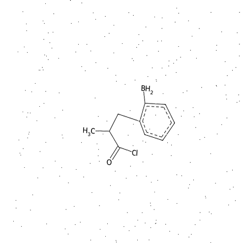 Bc1ccccc1CC(C)C(=O)Cl